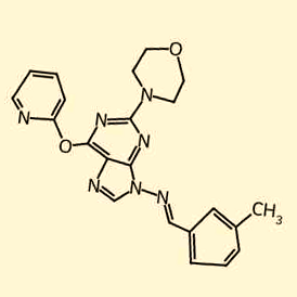 Cc1cccc(/C=N/n2cnc3c(Oc4ccccn4)nc(N4CCOCC4)nc32)c1